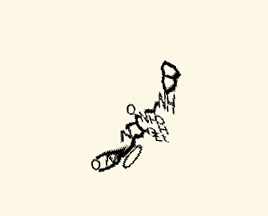 CCOc1cc(C(=O)N2C3CCC2COC3)ncc1C(=O)NC[C@@H](O)CNC1Cc2ccccc2C1